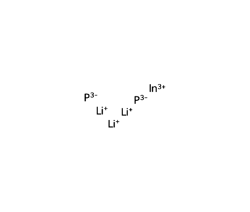 [In+3].[Li+].[Li+].[Li+].[P-3].[P-3]